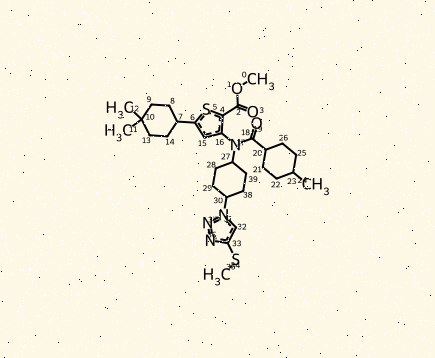 COC(=O)c1sc(C2CCC(C)(C)CC2)cc1N(C(=O)C1CCC(C)CC1)C1CCC(n2cc(SC)nn2)CC1